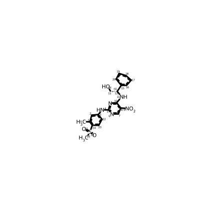 Cc1cc(Nc2ncc([N+](=O)[O-])c(N[C@H](CO)c3ccccc3)n2)ccc1S(C)(=O)=O